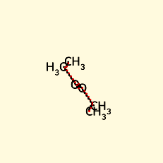 CCCCC(C)CCCCCCCCCCOc1ccc(OCCCCCCCCCCC(C)CCCC)cc1